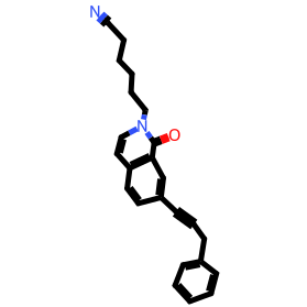 N#CCCCCCn1ccc2ccc(C#CCc3ccccc3)cc2c1=O